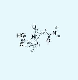 CN(C)C(=O)/C=C1/C(=O)N2C1CC(C)(C)[C@@H]2C(=O)O